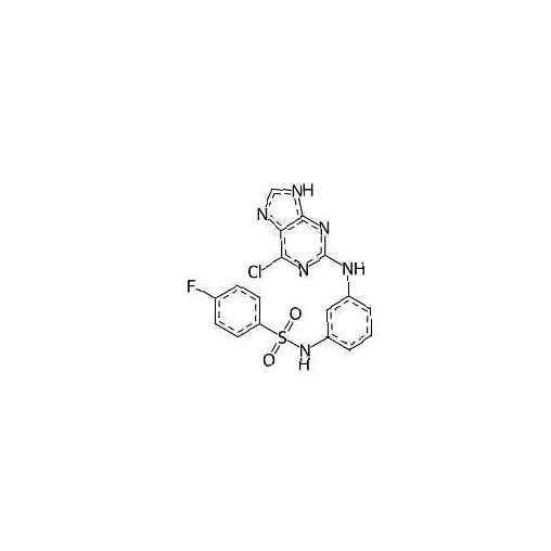 O=S(=O)(Nc1cccc(Nc2nc(Cl)c3nc[nH]c3n2)c1)c1ccc(F)cc1